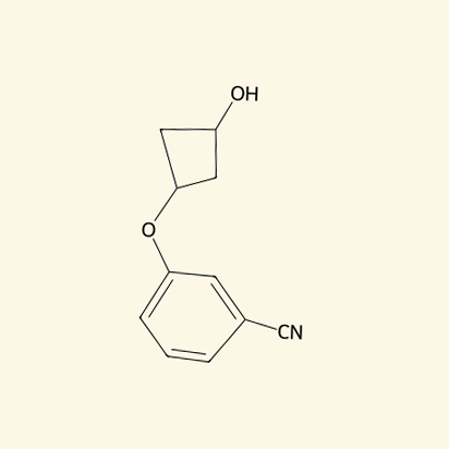 N#Cc1cccc(OC2CC(O)C2)c1